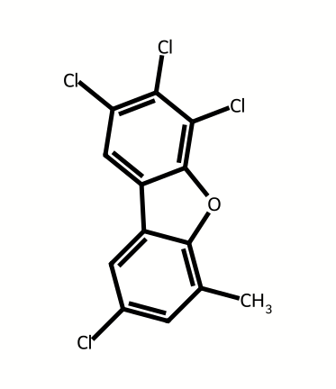 Cc1cc(Cl)cc2c1oc1c(Cl)c(Cl)c(Cl)cc12